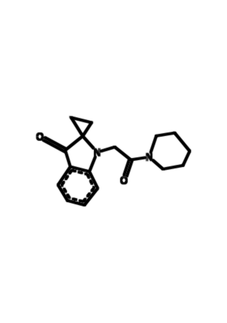 O=C(CN1c2ccccc2C(=O)C12CC2)N1CCCCC1